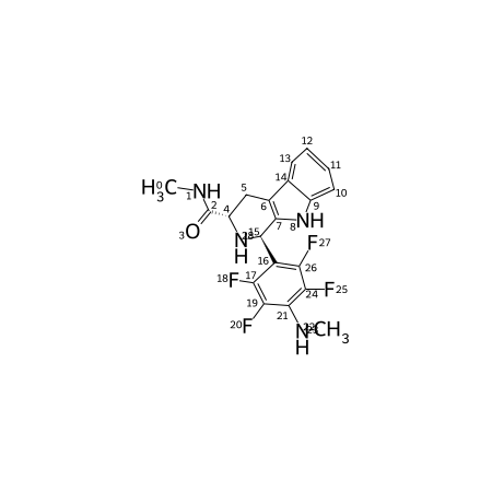 CNC(=O)[C@@H]1Cc2c([nH]c3ccccc23)[C@@H](c2c(F)c(F)c(NC)c(F)c2F)N1